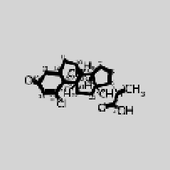 CC(C(=O)O)[C@H]1CC[C@H]2[C@@H]3CCC4=CC(=O)C=C(Cl)[C@]4(C)[C@H]3CC[C@]12C